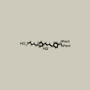 CCCCCN(CCCCC)c1ccc(C=CC=Cc2cc[n+](CCCCS(=O)(=O)O)cc2)cc1.[OH-]